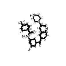 O=C(Nc1cc(F)cc(C(=O)c2ccc3ncc(N4CCNCC4)cc3c2)c1)c1ccc(Cl)cc1